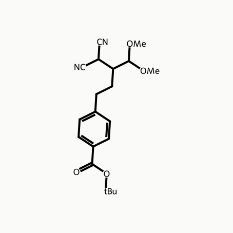 COC(OC)C(CCc1ccc(C(=O)OC(C)(C)C)cc1)C(C#N)C#N